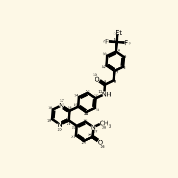 CCC(F)(F)c1ccc(CC(=O)Nc2ccc(-c3nccnc3-c3ccc(=O)n(C)c3)cc2)cc1